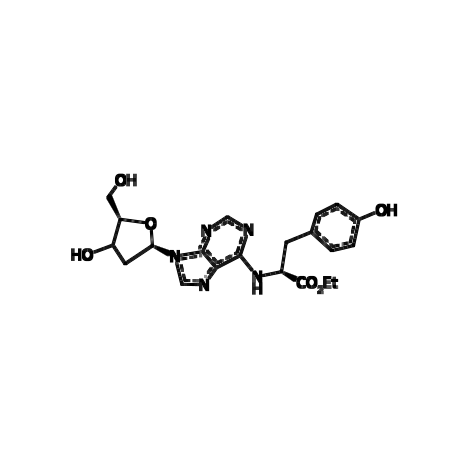 CCOC(=O)[C@H](Cc1ccc(O)cc1)Nc1ncnc2c1ncn2[C@H]1CC(O)[C@@H](CO)O1